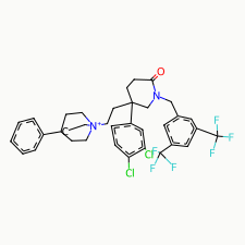 O=C1CCC(CC[N+]23CCC(c4ccccc4)(CC2)CC3)(c2ccc(Cl)c(Cl)c2)CN1Cc1cc(C(F)(F)F)cc(C(F)(F)F)c1